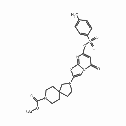 Cc1ccc(S(=O)(=O)Oc2cc(=O)n3cc(N4CCC5(CCN(C(=O)OC(C)(C)C)CC5)C4)sc3n2)cc1